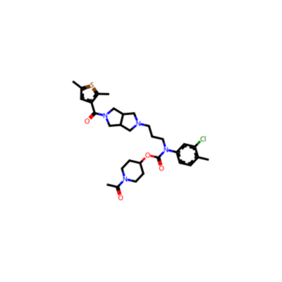 CC(=O)N1CCC(OC(=O)N(CCCN2CC3CN(C(=O)c4cc(C)sc4C)CC3C2)c2ccc(C)c(Cl)c2)CC1